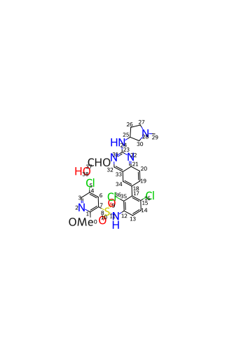 COc1ncc(Cl)cc1S(=O)(=O)Nc1ccc(Cl)c(-c2ccc3nc(NC4CCN(C)C4)ncc3c2)c1Cl.O=CO